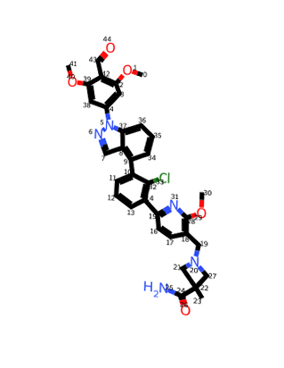 COc1cc(-n2ncc3c(-c4cccc(-c5ccc(CN6CC(C)(C(N)=O)C6)c(OC)n5)c4Cl)cccc32)cc(OC)c1C=O